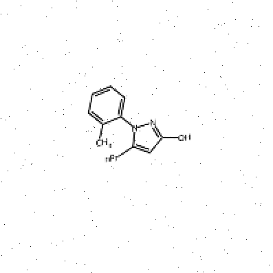 CCCc1cc(O)nn1-c1ccccc1C